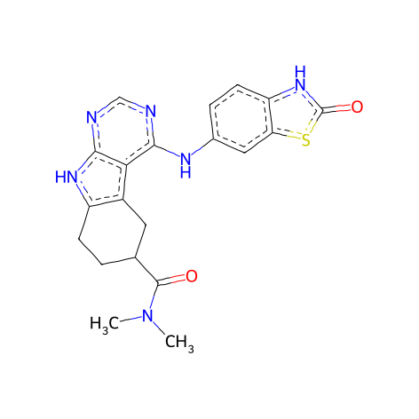 CN(C)C(=O)C1CCc2[nH]c3ncnc(Nc4ccc5[nH]c(=O)sc5c4)c3c2C1